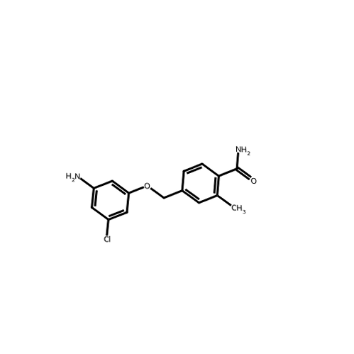 Cc1cc(COc2cc(N)cc(Cl)c2)ccc1C(N)=O